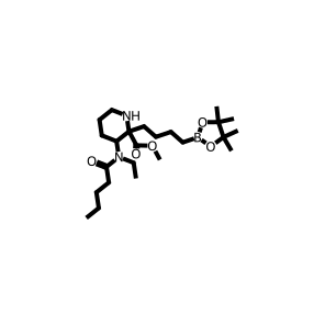 CCCCC(=O)N(CC)C1CCCNC1(CCCCB1OC(C)(C)C(C)(C)O1)C(=O)OC